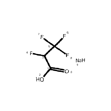 O=C(O)C(F)C(F)(F)F.[NaH]